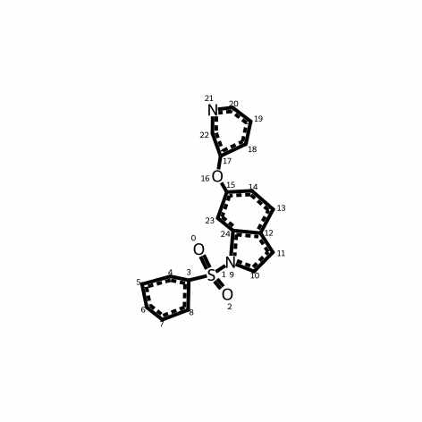 O=S(=O)(c1ccccc1)n1ccc2ccc(Oc3cccnc3)cc21